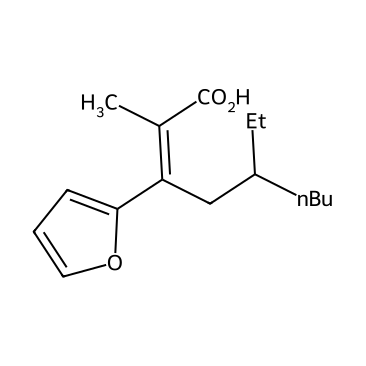 CCCCC(CC)CC(=C(C)C(=O)O)c1ccco1